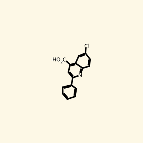 O=C(O)c1cc(-c2ccccc2)nc2ccc(Cl)cc12